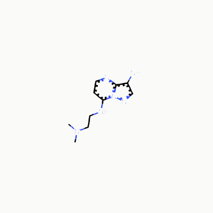 CN(C)CCNc1ccnc2c(N)cnn12